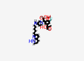 COc1c(F)cc(C2(O)COC2)cc1[C@H](C(=O)O)N1CC[C@@H](N(C)CCCCCc2ccc3c(n2)NCCC3)C1